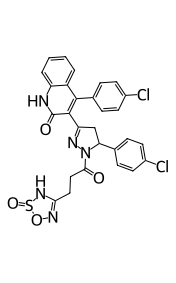 O=C(CCC1=NOS(=O)N1)N1N=C(c2c(-c3ccc(Cl)cc3)c3ccccc3[nH]c2=O)CC1c1ccc(Cl)cc1